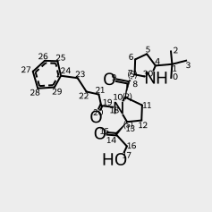 CC(C)(C)C1CC[C@@H](C(=O)[C@H]2CC[C@@H](C(=O)CO)N2C(=O)CCCc2ccccc2)N1